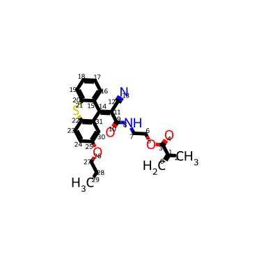 C=C(C)C(=O)OCCNC(=O)/C(C#N)=C1/c2ccccc2Sc2ccc(OCCC)cc21